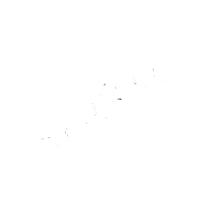 COC1(NC(=O)Cn2cnnn2)C(=O)N2C(C(=O)[O-])=C(CSc3nnc(C)s3)CS[C@H]21.[Na+]